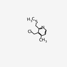 CSCc1nccc(C)c1CCl